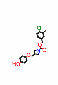 Cc1cc(COC(=O)N2CC(COc3ccc(O)cc3)C2)ccc1Cl